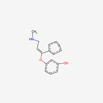 CNC/C=C(/Oc1cccc(O)c1)c1ccccc1